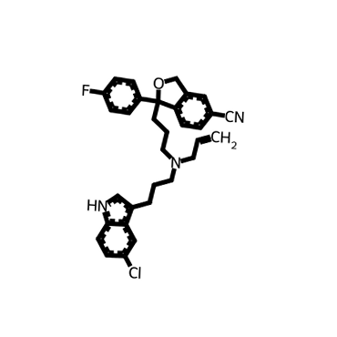 C=CCN(CCCc1c[nH]c2ccc(Cl)cc12)CCCC1(c2ccc(F)cc2)OCc2cc(C#N)ccc21